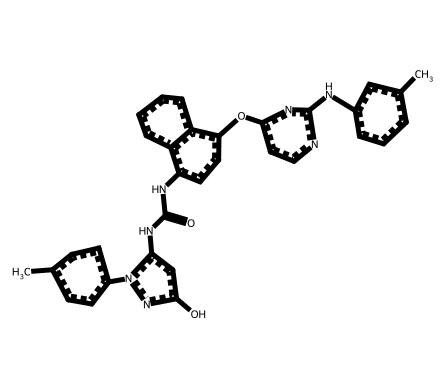 Cc1ccc(-n2nc(O)cc2NC(=O)Nc2ccc(Oc3ccnc(Nc4cccc(C)c4)n3)c3ccccc23)cc1